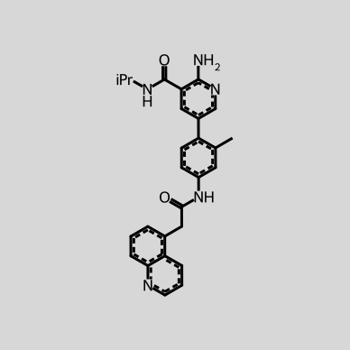 Cc1cc(NC(=O)Cc2cccc3ncccc23)ccc1-c1cnc(N)c(C(=O)NC(C)C)c1